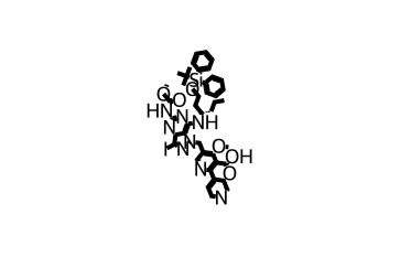 CCC[C@@H](CCO[Si](c1ccccc1)(c1ccccc1)C(C)(C)C)Nc1nc(NC(=O)OC)nc2c(I)nn(Cc3cnc(C4=CCN=CC4)c(C(=O)O)c3OC)c12